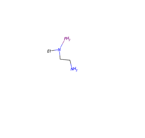 CCN(P)CCN